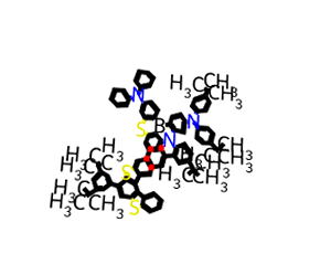 CC(C)(C)c1ccc(N(c2ccc(C(C)(C)C)cc2)c2ccc3c(c2)N(c2ccc(C(C)(C)C)cc2-c2ccccc2)c2cc(-c4ccc5c(c4)sc4c(-c6cc(C(C)(C)C)cc(C(C)(C)C)c6)cc6sc7ccccc7c6c45)cc4c2B3c2ccc(N(c3ccccc3)c3ccccc3)cc2S4)cc1